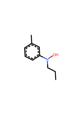 CCCN(O)c1cccc(C)c1